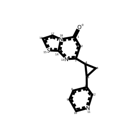 O=c1cc(C2CC2c2cccnc2)nc2sccn12